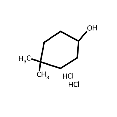 CC1(C)CCC(O)CC1.Cl.Cl